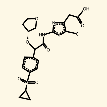 O=C(O)Cc1nc(NC(=O)C(O[C@@H]2CCOC2)c2ccc(S(=O)(=O)C3CC3)cc2)sc1Cl